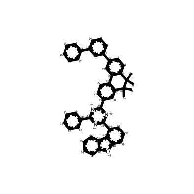 CC1(C)c2ccc(-c3cccc(-c4ccccc4)c3)cc2-c2ccc(-c3nc(-c4ccccc4)nc(-c4cccc5oc6ccccc6c45)n3)cc2C1(C)C